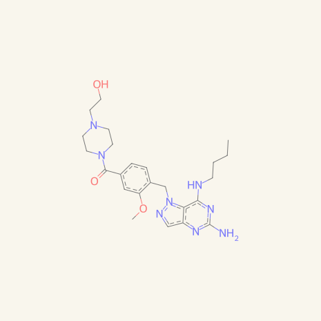 CCCCNc1nc(N)nc2cnn(Cc3ccc(C(=O)N4CCN(CCO)CC4)cc3OC)c12